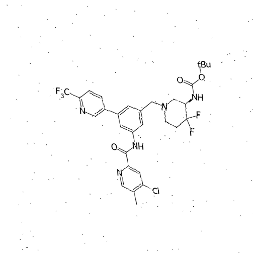 Cc1cnc(C(=O)Nc2cc(CN3CCC(F)(F)[C@H](NC(=O)OC(C)(C)C)C3)cc(-c3ccc(C(F)(F)F)nc3)c2)cc1Cl